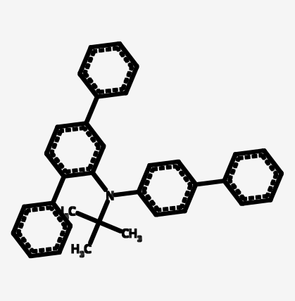 CC(C)(C)N(c1ccc(-c2ccccc2)cc1)c1cc(-c2ccccc2)ccc1-c1ccccc1